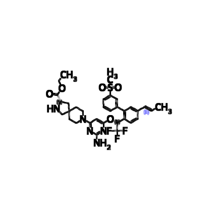 C/C=C/c1ccc([C@@H](Oc2cc(N3CCC4(CC3)CN[C@H](C(=O)OCC)C4)nc(N)n2)C(F)(F)F)c(-c2cccc(S(C)(=O)=O)c2)c1